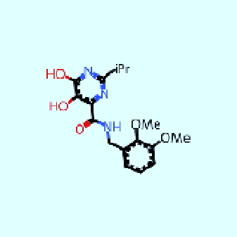 COc1cccc(CNC(=O)c2nc(C(C)C)nc(O)c2O)c1OC